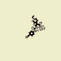 CCN1CCc2c(sc(NC(=O)Nc3ccc(C#N)cc3)c2C(N)=O)C1.Cl